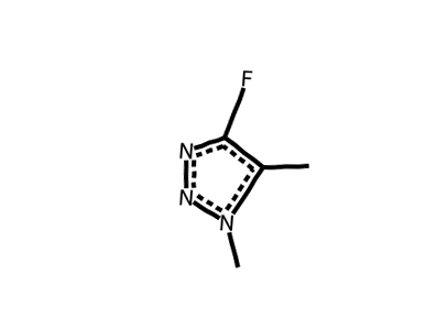 Cc1c(F)nnn1C